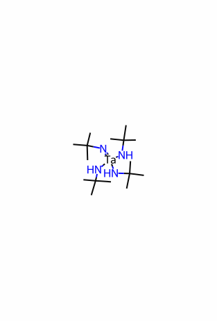 CC(C)(C)[N]=[Ta]([NH]C(C)(C)C)([NH]C(C)(C)C)[NH]C(C)(C)C